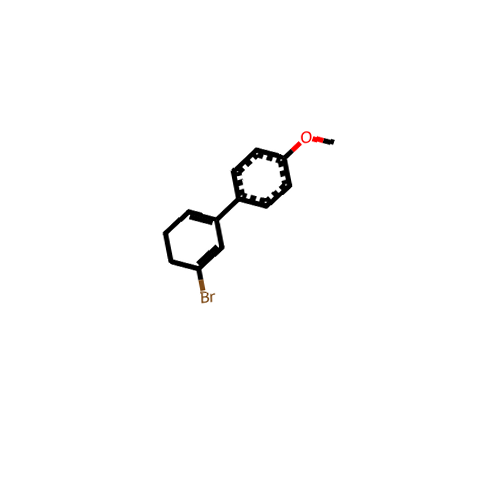 COc1ccc(C2=CCCC(Br)=C2)cc1